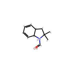 CC1(C)CC2C=CC=CC2N1C=O